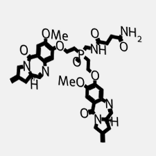 C=C1C[C@H]2C=Nc3cc(OCCP(=O)(CCOc4cc5c(cc4OC)C(=O)N4CC(=C)C[C@H]4C=N5)CNC(=O)CCC(N)=O)c(OC)cc3C(=O)N2C1